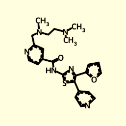 CN(C)CCN(C)Cc1cc(C(=O)Nc2nc(-c3ccco3)c(-c3ccncc3)s2)ccn1